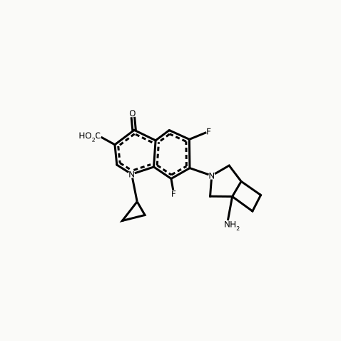 NC12CCC1CN(c1c(F)cc3c(=O)c(C(=O)O)cn(C4CC4)c3c1F)C2